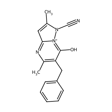 Cc1nc2cc(C)n(C#N)[n+]2c(O)c1Cc1ccccc1